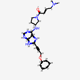 CN(C)CC=CC(=O)N1CC[C@@H](Nc2ncnc3[nH]c(C#CCOc4ccccc4)nc23)C1